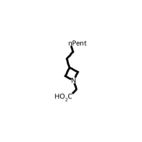 CCCCCCCC1CN(CC(=O)O)C1